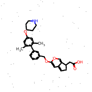 Cc1cc(OC2CCNCC2)cc(C)c1-c1cccc(COC2=CC3=CCC(CC(=O)O)C3=CO2)c1